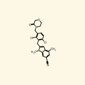 Cc1cc(C#N)cc2c1cc(Cc1c(Cl)ccc(CN3CCOCC3=O)c1Cl)n2C